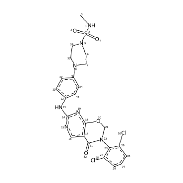 CNS(=O)(=O)N1CCN(c2ccc(Nc3ncc4c(n3)OCN(c3c(Cl)cccc3Cl)C4=O)cc2)CC1